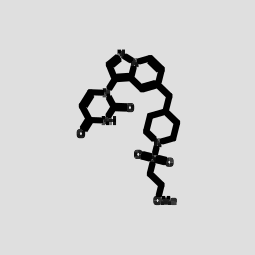 COCCS(=O)(=O)N1CCC(Cc2ccn3ncc(-n4ccc(=O)[nH]c4=O)c3c2)CC1